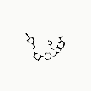 N#Cc1ccc(COc2cccc(N3CCN(Cc4nc5ccc(C(=O)O)nc5n4C[C@@H]4CCO4)CC3)n2)nc1